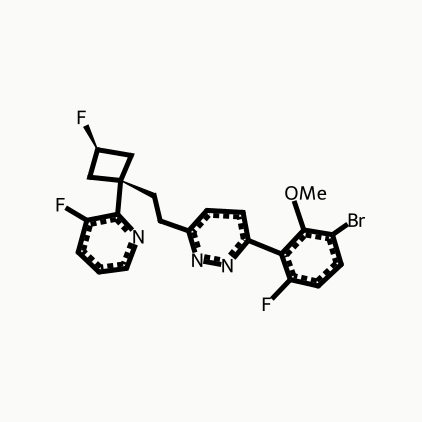 COc1c(Br)ccc(F)c1-c1ccc(CC[C@]2(c3ncccc3F)C[C@H](F)C2)nn1